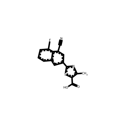 Cc1nc(-c2cc(C#N)c3c(F)cccc3c2)sc1C(=O)O